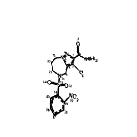 NC(=O)c1nn2c(c1Cl)CN(S(=O)(=O)c1ccccc1[N+](=O)[O-])CCC2